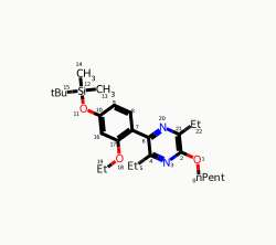 CCCCCOc1nc(CC)c(-c2ccc(O[Si](C)(C)C(C)(C)C)cc2OCC)nc1CC